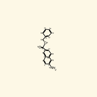 Nc1ccc2cc(C(=O)OCc3ccccc3)ccc2c1